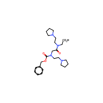 O=C(O)CN(CCN1CCCC1)C(=O)CN(CCN1CCCC1)C(=O)OCc1ccccc1